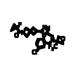 O=C(N1CC2(CC(c3nnc4n3-c3ccc(Cl)cc3CN(C3(C(F)(F)F)COC3)C4)C2)C1)C1(F)CC1